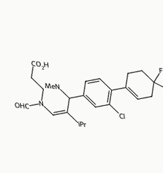 CNC(/C(=C\N(C=O)CCC(=O)O)C(C)C)c1ccc(C2=CCC(F)(F)CC2)c(Cl)c1